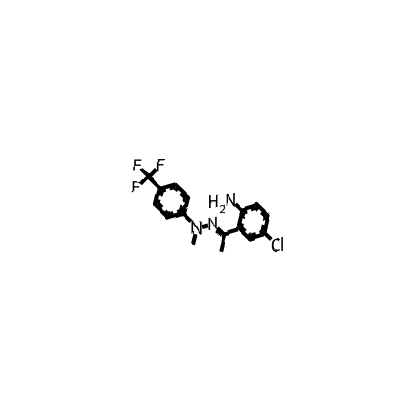 C/C(=N\N(C)c1ccc(C(F)(F)F)cc1)c1cc(Cl)ccc1N